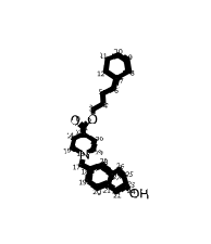 O=C(OCCCCC1CCCCC1)C1CCN(Cc2ccc3cc(O)ccc3c2)CC1